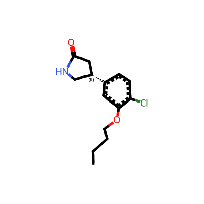 CCCCOc1cc([C@@H]2CNC(=O)C2)ccc1Cl